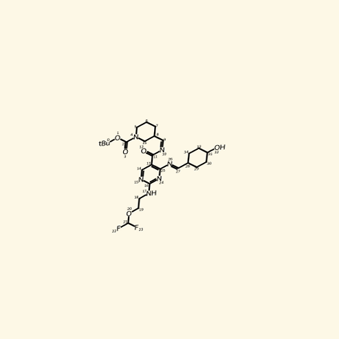 CC(C)(C)OC(=O)N1CCCC(/C=N\C(=O)c2cnc(NCCOC(F)F)nc2/N=C/C2CCC(O)CC2)C1